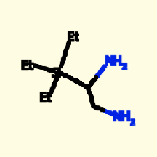 CC[Si](CC)(CC)C(N)CN